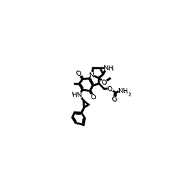 COC12C(COC(N)=O)C3=C(C(=O)C(C)=C(NC4CC4c4ccccc4)C3=O)N1CC1NC12